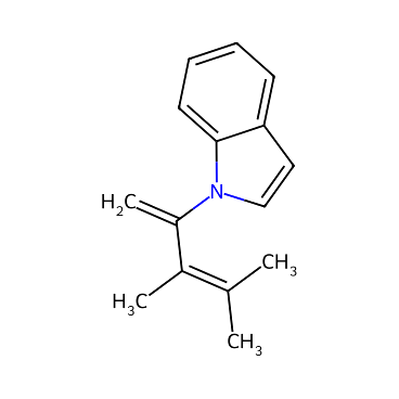 C=C(C(C)=C(C)C)n1ccc2ccccc21